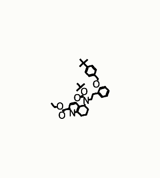 CCOC(=O)c1ccc2c(n1)CCCC2N(CCc1ccccc1OCc1ccc(C(C)(C)C)cc1)C(=O)OC(C)(C)C